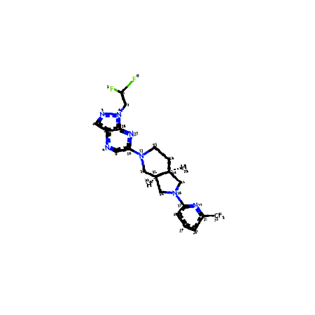 FC(F)Cn1ncc2ncc(N3CC[C@H]4CN(c5cccc(C(F)(F)F)n5)C[C@H]4C3)nc21